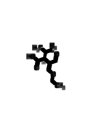 CCOC=C(C=O)[C@@H](C(=O)O)C(C)C